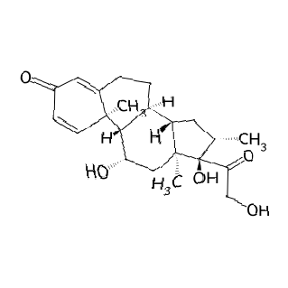 C[C@H]1C[C@H]2[C@@H]3CCC4=CC(=O)C=C[C@]4(C)[C@H]3[C@@H](O)C[C@]2(C)[C@@]1(O)C(=O)CO